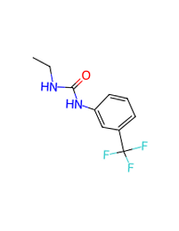 CCNC(=O)Nc1cccc(C(F)(F)F)c1